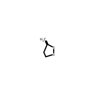 C=C1CCSS1